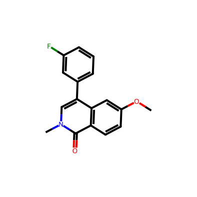 COc1ccc2c(=O)n(C)cc(-c3cccc(F)c3)c2c1